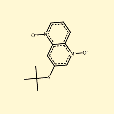 CC(C)(C)Sc1cc2c(ccc[n+]2[O-])[n+]([O-])c1